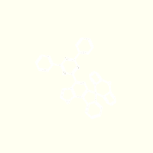 c1ccc(-c2nc(-c3ccccc3)nc(-c3cc4c(c5occc35)-c3ccccc3C43c4ccccc4Sc4ccccc43)n2)cc1